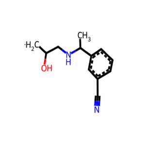 [CH2]C(O)CNC(C)c1cccc(C#N)c1